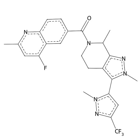 Cc1cc(F)c2cc(C(=O)N3CCc4c(nn(C)c4-c4cc(C(F)(F)F)nn4C)C3C)ccc2n1